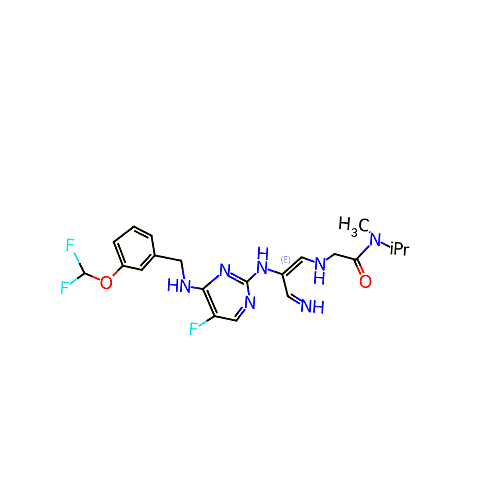 CC(C)N(C)C(=O)CN/C=C(\C=N)Nc1ncc(F)c(NCc2cccc(OC(F)F)c2)n1